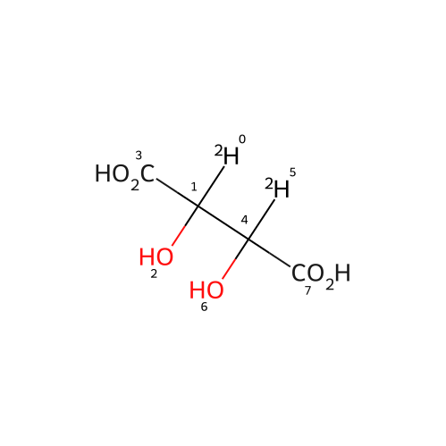 [2H]C(O)(C(=O)O)C([2H])(O)C(=O)O